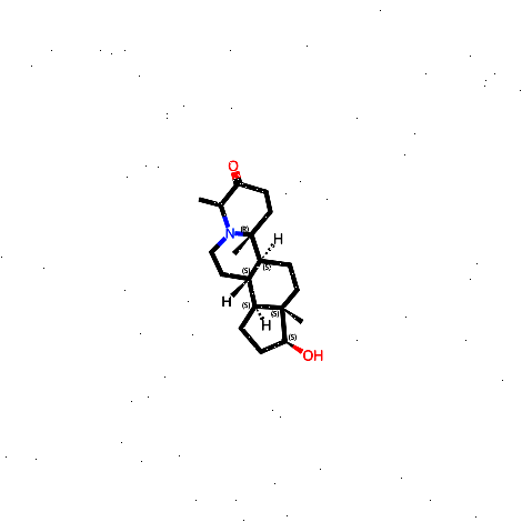 CC1C(=O)CC[C@]2(C)[C@H]3CC[C@]4(C)[C@@H](O)CC[C@H]4[C@@H]3CCN12